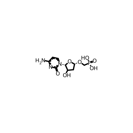 Nc1ccn([C@@H]2O[C@H](OCP(=O)(O)O)CC2O)c(=O)n1